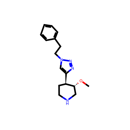 CO[C@@H]1CNCC[C@H]1c1cn(CCc2ccccc2)nn1